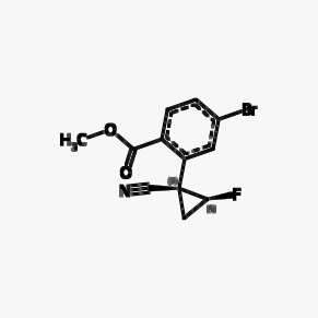 COC(=O)c1ccc(Br)cc1[C@@]1(C#N)C[C@@H]1F